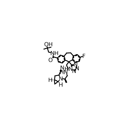 C=C(CNCCC1(c2nnn[nH]2)c2ccc(F)cc2CCc2cc(C(=O)NCC(C)(C)O)ccc21)N1C(C#N)C[C@@H]2C[C@@H]21